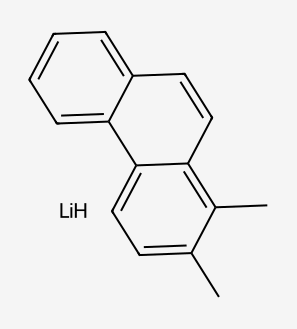 Cc1ccc2c(ccc3ccccc32)c1C.[LiH]